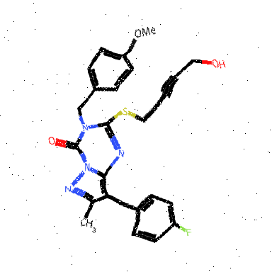 COc1ccc(Cn2c(SCC#CCO)nc3c(-c4ccc(F)cc4)c(C)nn3c2=O)cc1